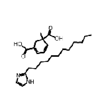 CC1(C(=O)O)C=CC=C(C(=O)O)C1.CCCCCCCCCCCCc1ncc[nH]1